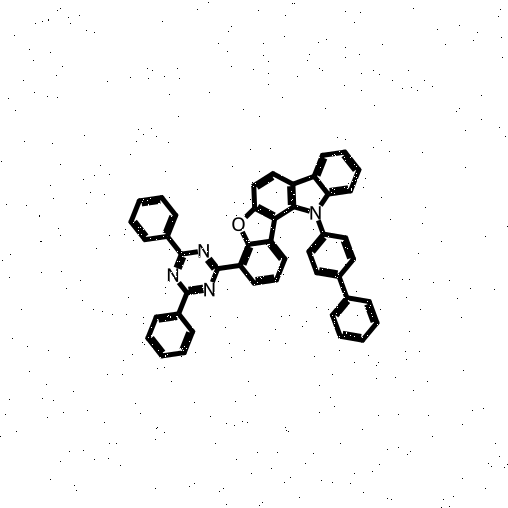 c1ccc(-c2ccc(-n3c4ccccc4c4ccc5oc6c(-c7nc(-c8ccccc8)nc(-c8ccccc8)n7)cccc6c5c43)cc2)cc1